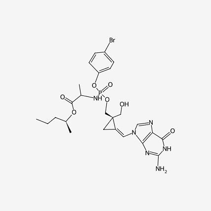 CCC[C@H](C)OC(=O)C(C)NP(=O)(OC[C@]1(CO)C/C1=C/n1cnc2c(=O)[nH]c(N)nc21)Oc1ccc(Br)cc1